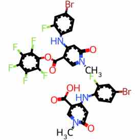 Cn1cc(C(=O)O)c(Nc2ccc(Br)cc2F)cc1=O.Cn1cc(C(=O)Oc2c(F)c(F)c(F)c(F)c2F)c(Nc2ccc(Br)cc2F)cc1=O